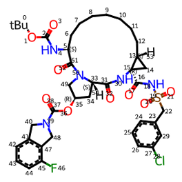 CC(C)(C)OC(=O)N[C@H]1CCCCCCC[C@@H]2C[C@@]2(C(=O)NS(=O)(=O)Cc2cccc(Cl)c2)NC(=O)[C@@H]2C[C@@H](OC(=O)N3Cc4cccc(F)c4C3)CN2C1=O